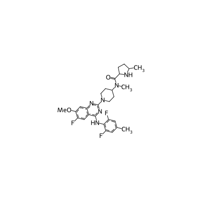 COc1cc2nc(N3CCC(N(C)C(=O)C4CCC(C)N4)CC3)nc(Nc3c(F)cc(C)cc3F)c2cc1F